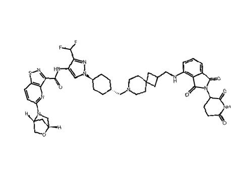 O=C1CCC(N2C(=O)c3cccc(NCC4CC5(CCN(C[C@H]6CC[C@H](n7cc(NC(=O)c8nsc9ccc(N%10C[C@H]%11C[C@@H]%10CO%11)nc89)c(C(F)F)n7)CC6)CC5)C4)c3C2=O)C(=O)N1